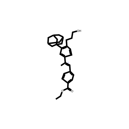 CCOC(=O)c1ccc(/C=C(\C)c2ccc(CCCO)c(C34CC5CC(CC(C5)C3)C4)c2)cc1